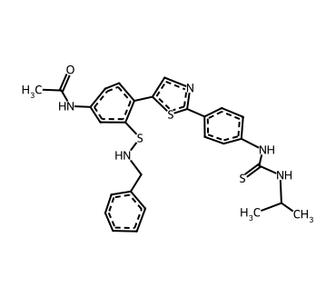 CC(=O)Nc1ccc(-c2cnc(-c3ccc(NC(=S)NC(C)C)cc3)s2)c(SNCc2ccccc2)c1